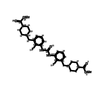 COC(=O)N1CCN(Cc2cccc(NC(=O)Nc3cccc(CN4CCN(C(=O)OC)CC4)c3F)c2F)CC1